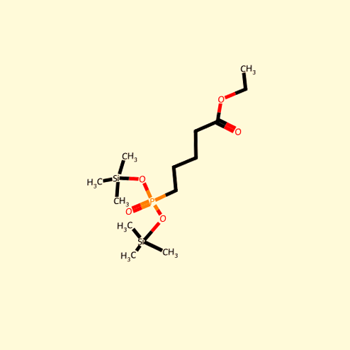 CCOC(=O)CCCCP(=O)(O[Si](C)(C)C)O[Si](C)(C)C